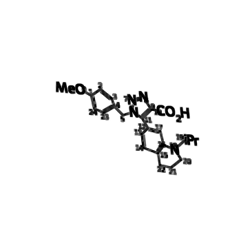 COc1ccc(Cn2nnc(C(=O)O)c2-c2ccc3c(c2)N(C(C)C)CCC3)cc1